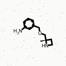 C[C@@]1(COCc2cccc(N)c2)CCN1